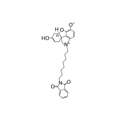 COc1ccc2c3c1O[C@@H]1CC(O)=CCC31CC[N+](CCCCCCCCN1C(=O)c3ccccc3C1=O)=C2